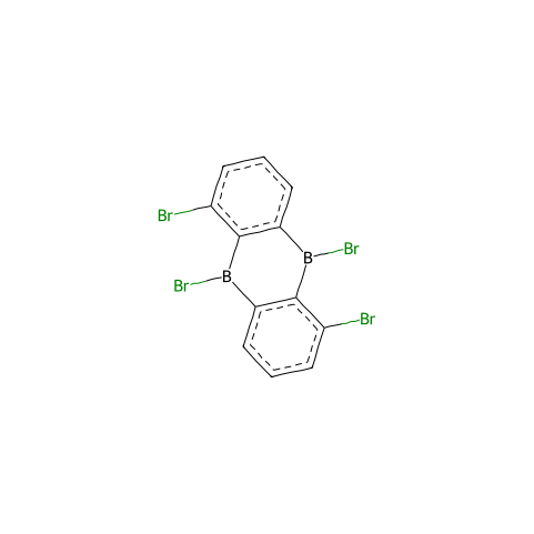 BrB1c2cccc(Br)c2B(Br)c2cccc(Br)c21